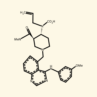 C=CCN(C(=O)O)[C@@H]1CCN(Cc2cccc3ncnc(Nc4cccc(OC)c4)c23)C[C@H]1C(=O)NC